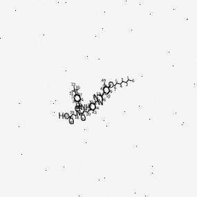 CCCCCCCOc1ccc(-c2cnc(-c3ccc(C[C@H](NC(=O)c4ccc(C(C)(C)C)cc4)C(=O)NCCC(=O)O)cc3)nc2)cc1C